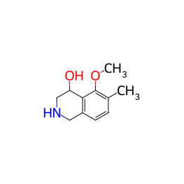 COc1c(C)ccc2c1C(O)CNC2